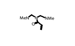 C=CC(=O)N(CNC)CNC